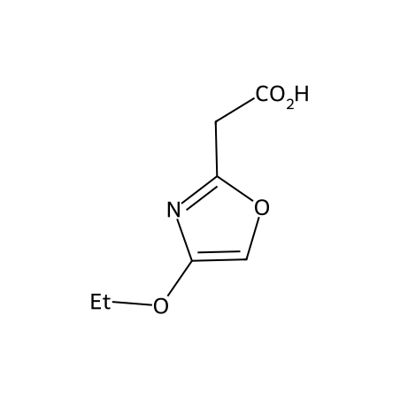 CCOc1coc(CC(=O)O)n1